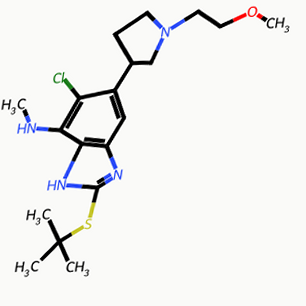 CNc1c(Cl)c(C2CCN(CCOC)C2)cc2nc(SC(C)(C)C)[nH]c12